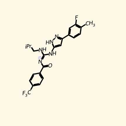 Cc1ccc(-c2cc(N/C(=N\C(=O)c3ccc(C(F)(F)F)cc3)NCC(C)C)[nH]n2)cc1F